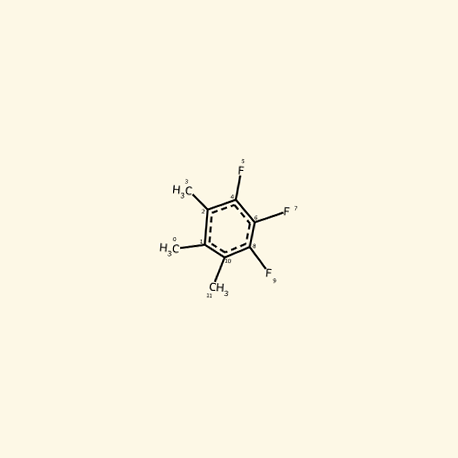 Cc1c(C)c(F)c(F)c(F)c1C